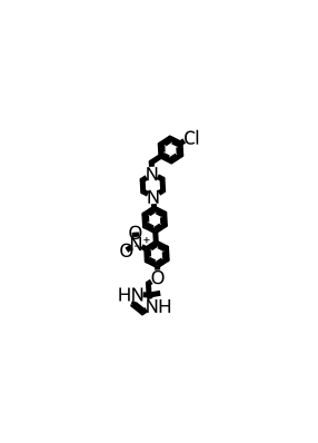 CC1(COc2ccc(-c3ccc(N4CCN(Cc5ccc(Cl)cc5)CC4)cc3)c([N+](=O)[O-])c2)NC=CN1